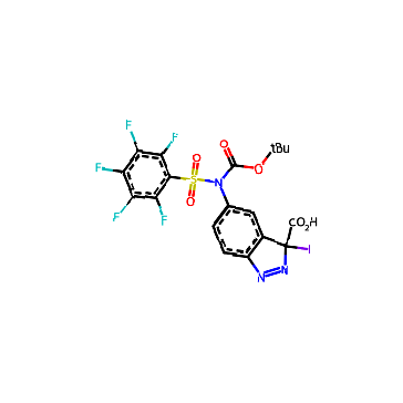 CC(C)(C)OC(=O)N(c1ccc2c(c1)C(I)(C(=O)O)N=N2)S(=O)(=O)c1c(F)c(F)c(F)c(F)c1F